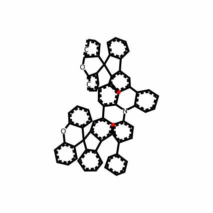 c1ccc(-c2ccc(N(c3ccccc3-c3ccc4c(c3)-c3ccccc3C43c4ccccc4Oc4ccccc43)c3ccccc3-c3ccc4c(c3)C3(c5ccccc5Oc5ccccc53)c3ccccc3-4)cc2)cc1